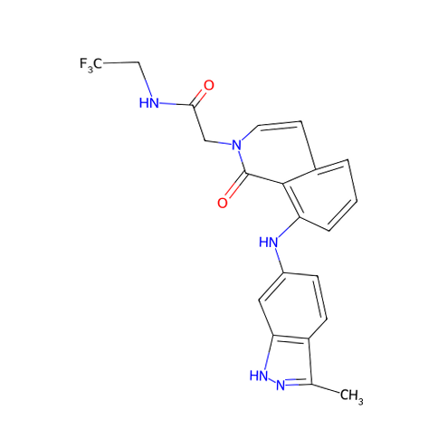 Cc1n[nH]c2cc(Nc3cccc4ccn(CC(=O)NCC(F)(F)F)c(=O)c34)ccc12